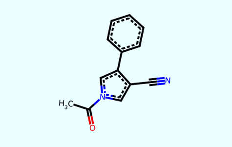 CC(=O)n1cc(C#N)c(-c2ccccc2)c1